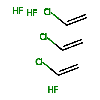 C=CCl.C=CCl.C=CCl.F.F.F